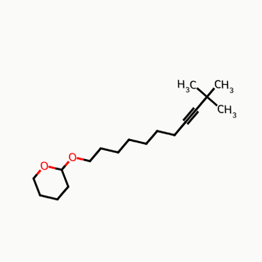 CC(C)(C)C#CCCCCCCCOC1CCCCO1